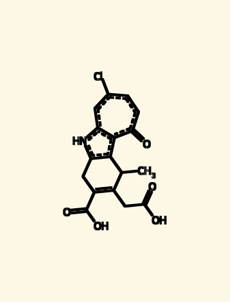 CC1C(CC(=O)O)=C(C(=O)O)Cc2[nH]c3cc(Cl)ccc(=O)c3c21